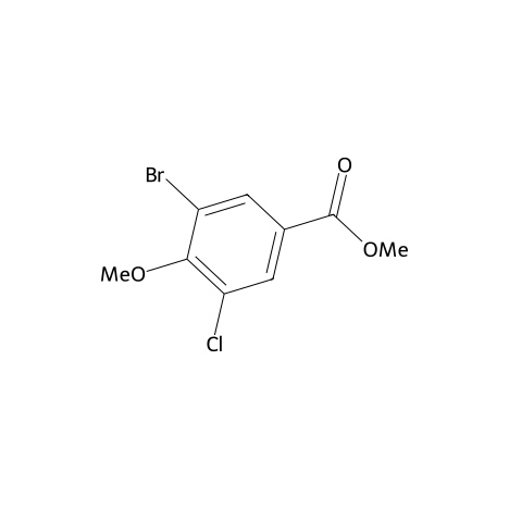 COC(=O)c1cc(Cl)c(OC)c(Br)c1